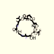 CC1=C\[C@@H](O)C[C@@H](OC(F)(F)F)Cc2nc(co2)C(=O)N2CCC[C@@H]2C(=O)OC(C(C)C)[C@H](C)/C=C/C(=O)NC\C=C\1